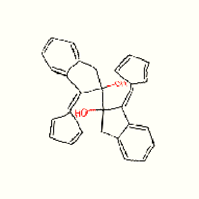 OC1(C2(O)Cc3ccccc3C2=C2C=CC=C2)Cc2ccccc2C1=C1C=CC=C1